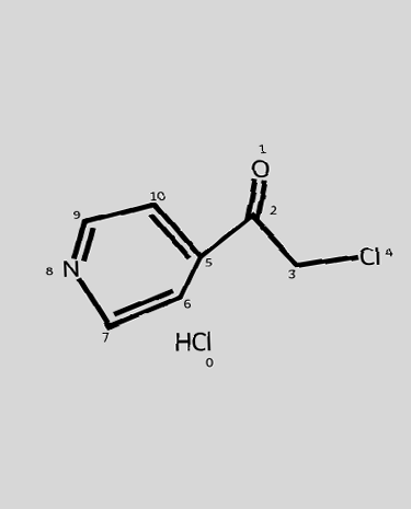 Cl.O=C(CCl)c1ccncc1